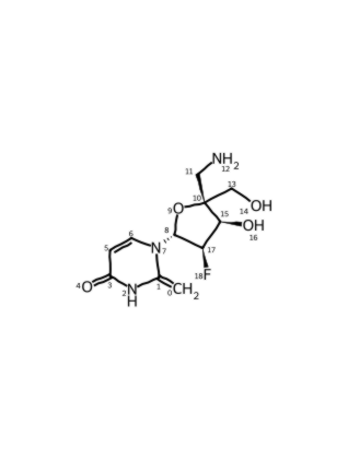 C=C1NC(=O)C=CN1[C@@H]1O[C@](CN)(CO)[C@@H](O)[C@H]1F